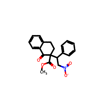 COC(=O)C1(C(C[N+](=O)[O-])c2ccccc2)CCc2ccccc2C1=O